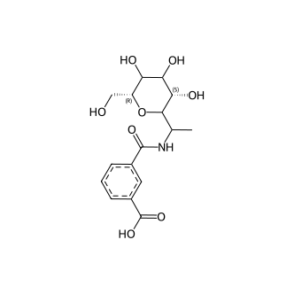 CC(NC(=O)c1cccc(C(=O)O)c1)C1O[C@H](CO)C(O)C(O)[C@@H]1O